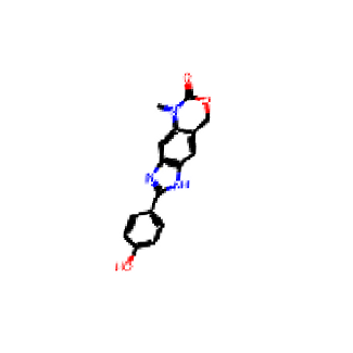 CN1C(=O)OCc2cc3[nH]c(-c4ccc(O)cc4)nc3cc21